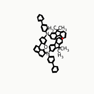 CC1(C)c2ccccc2-c2ccc(N(c3ccc(-c4ccccc4)cc3)c3ccc4c(c3)Oc3c(N(c5ccc(-c6ccccc6)cc5)c5ccc6c(c5)C(C)(C)c5ccccc5-6)ccc5cccc-4c35)cc21